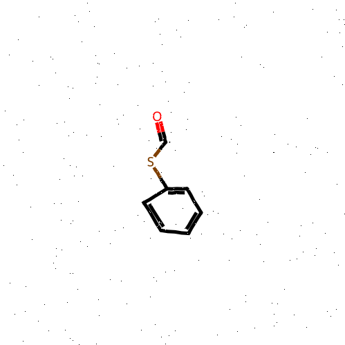 O=[C]Sc1ccccc1